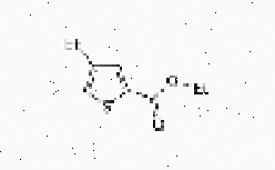 CCOC(=O)c1cc(CC)cs1